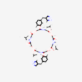 Cc1[nH]ncc1Cc1ccc(C[C@H]2OC(=O)[C@H](CC(C)C)N(C)C(=O)[C@@H](C)OC(=O)[C@H](CC(C)C)N(C)C(=O)[C@@H](Cc3ccc(Cc4cn[nH]c4C)cc3)OC(=O)[C@H](CC(C)C)N(C)C(=O)[C@@H](C)OC(=O)[C@H](CC(C)C)N(C)C2=O)cc1